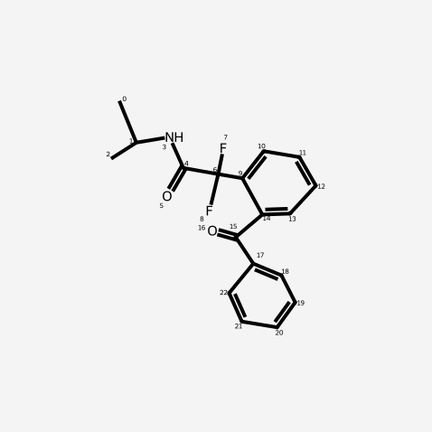 CC(C)NC(=O)C(F)(F)c1ccccc1C(=O)c1ccccc1